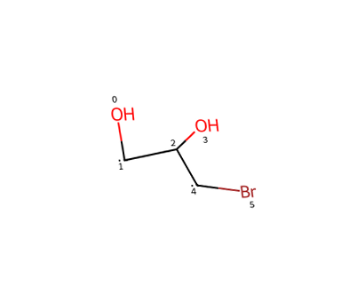 O[CH]C(O)[CH]Br